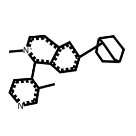 Cc1cnccc1-c1c2ccc(C3CC4CCC3CC4)cc2cc[n+]1C